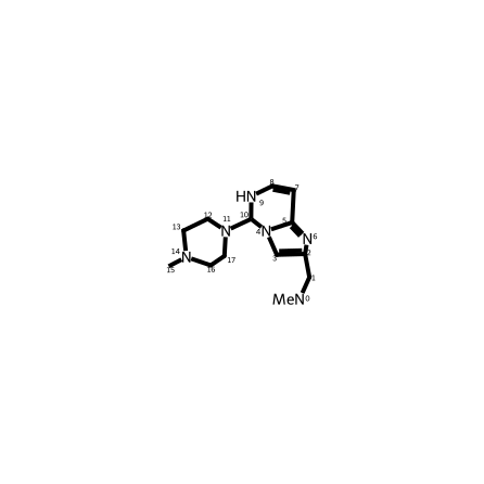 CNCc1cn2c(n1)C=CNC2N1CCN(C)CC1